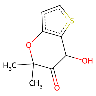 CC1(C)Oc2ccsc2C(O)C1=O